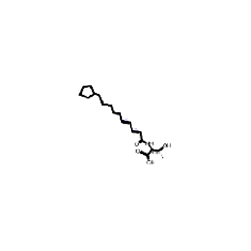 C[C@@H](O)[C@H](NC(=O)/C=C/C=C/CCCCCC1CCCC1)C(=O)O